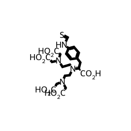 O=C(O)CN(CCN(CCN(CC(=O)O)CC(=O)O)[C@@H](Cc1ccc(NC=S)cc1)C(=O)O)CC(=O)O